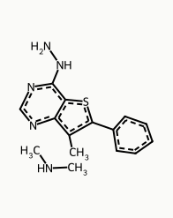 CNC.Cc1c(-c2ccccc2)sc2c(NN)ncnc12